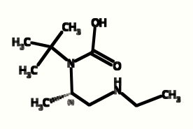 CCNC[C@H](C)N(C(=O)O)C(C)(C)C